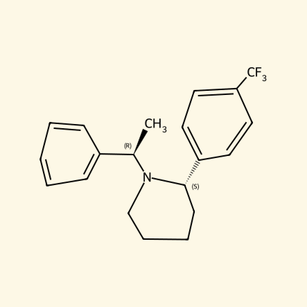 C[C@H](c1ccccc1)N1CCCC[C@H]1c1ccc(C(F)(F)F)cc1